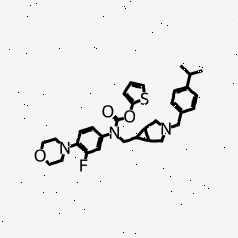 CC(C)c1ccc(CN2CC3C(C2)C3CN(C(=O)Oc2cccs2)c2ccc(N3CCOCC3)c(F)c2)cc1